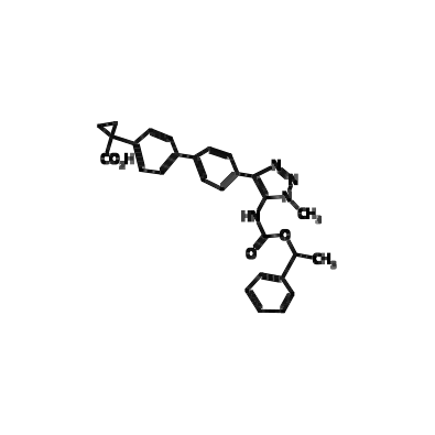 CC(OC(=O)Nc1c(-c2ccc(-c3ccc(C4(C(=O)O)CC4)cc3)cc2)nnn1C)c1ccccc1